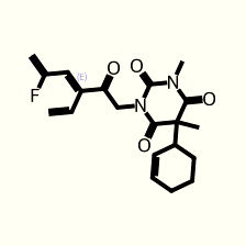 C=C/C(=C\C(=C)F)C(=O)CN1C(=O)N(C)C(=O)C(C)(C2C=CCCC2)C1=O